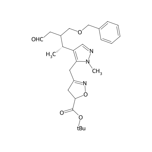 C[C@@H](c1cnn(C)c1CC1=NOC(C(=O)OC(C)(C)C)C1)C(CC=O)COCc1ccccc1